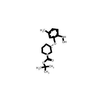 Cc1ccc(NO)c(O[C@H]2CCCN(C(=O)OC(C)(C)C)C2)c1